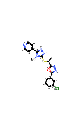 CCn1c(SC(C)c2nnc(-c3cccc(Cl)c3)o2)nnc1-c1ccncc1